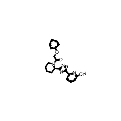 O=C(COc1ccccc1)N1CCCCC1c1noc(-c2cccc(O)n2)n1